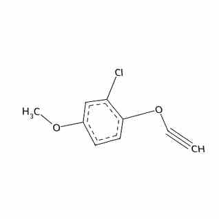 C#COc1ccc(OC)cc1Cl